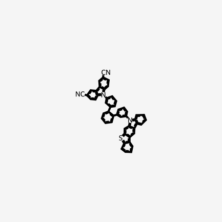 N#Cc1ccc2c(c1)c1cc(C#N)ccc1n2-c1cccc(-c2ccccc2-c2cccc(-n3c4ccccc4c4cc5c(cc43)sc3ccccc35)c2)c1